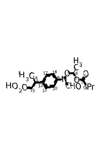 CC(C)C(=O)O[C@@H](C)ON(C=O)c1ccc([C@H](C)CC(=O)O)cc1